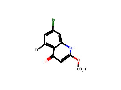 CCc1cc(Br)cc2[nH]c(OC(=O)O)cc(=O)c12